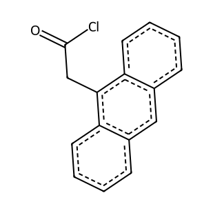 O=C(Cl)Cc1c2ccccc2cc2ccccc12